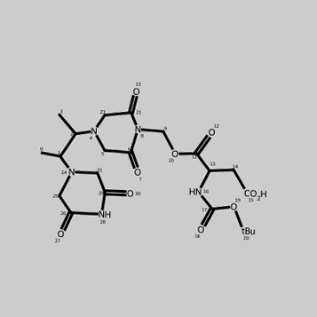 CC(C(C)N1CC(=O)N(COC(=O)C(CC(=O)O)NC(=O)OC(C)(C)C)C(=O)C1)N1CC(=O)NC(=O)C1